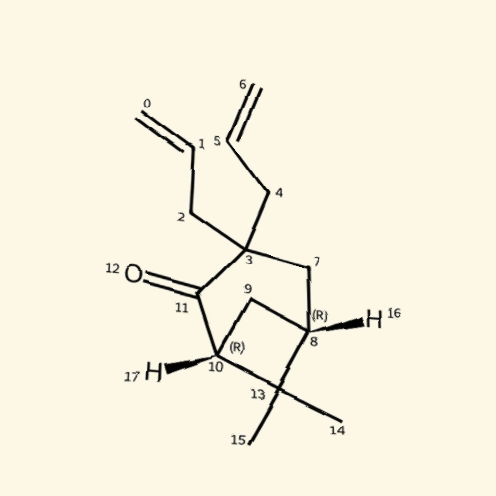 C=CCC1(CC=C)C[C@H]2C[C@@H](C1=O)C2(C)C